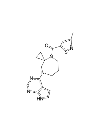 Cc1cc(C(=O)N2CCCN(c3ncnc4[nH]ccc34)CC23CC3)sn1